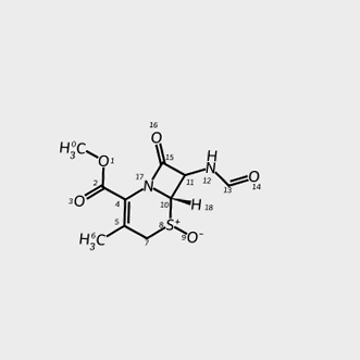 COC(=O)C1=C(C)C[S+]([O-])[C@H]2C(NC=O)C(=O)N12